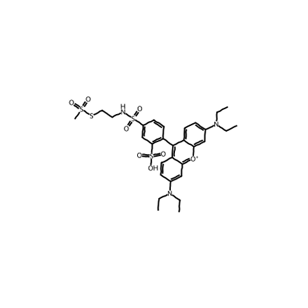 CCN(CC)c1ccc2c(-c3ccc(S(=O)(=O)NCCSS(C)(=O)=O)cc3S(=O)(=O)O)c3ccc(N(CC)CC)cc3[o+]c2c1